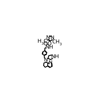 Cc1ncnc(C)c1OC(=O)NCc1ccc(CN(C2CCNCC2)C2CCCc3cccnc32)cc1